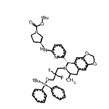 C[C@@H]1Cc2cc3c(cc2[C@@H](c2cccc(N[C@H]4CCN(C(=O)OC(C)(C)C)C4)n2)N1CC(F)(F)CO[Si](c1ccccc1)(c1ccccc1)C(C)(C)C)OCO3